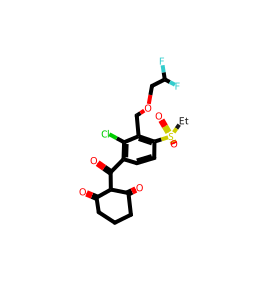 CCS(=O)(=O)c1ccc(C(=O)C2C(=O)CCCC2=O)c(Cl)c1COCC(F)F